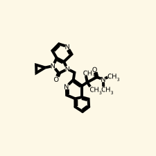 CN(C)C(=O)C(C)(C)c1c(Cn2c(=O)n(C3CC3)c3ccncc32)ncc2ccccc12